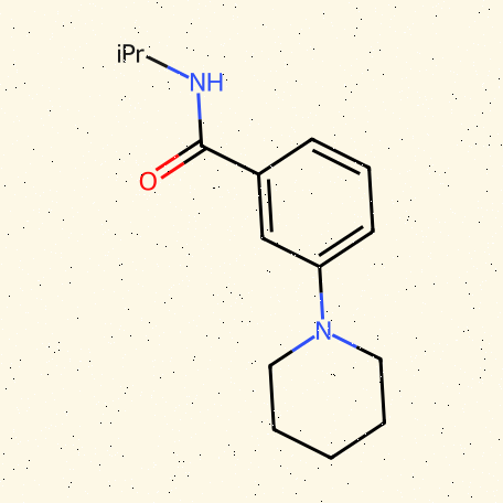 CC(C)NC(=O)c1cccc(N2CCCCC2)c1